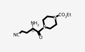 CCOC(=O)N1CCN(C(=O)[C@@H](N)CCC#N)CC1